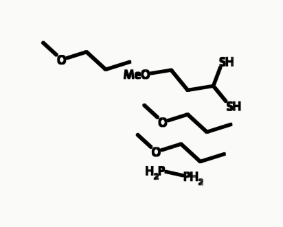 CCCOC.CCCOC.CCCOC.COCCC(S)S.PP